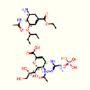 CC(=O)N[C@H]1[C@H]([C@H](O)[C@H](O)CO)OC(C(=O)O)=C[C@@H]1NC(=N)N.CCOC(=O)C1=C[C@@H](OC(CC)CC)[C@H](NC(C)=O)[C@@H](N)C1.O=P(O)(O)O